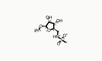 CC(C)O[C@@H]1O[C@H](CNS(C)(=O)=O)[C@@H](O)[C@H]1O